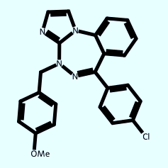 COc1ccc(CN2N=C(c3ccc(Cl)cc3)c3ccccc3-n3ccnc32)cc1